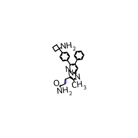 Cc1nc2cc(-c3ccccc3)c(-c3ccc(C4(N)CCC4)cc3)nn2c1/C=C/C(N)=O